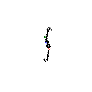 CCCCCCCCCOc1ccc(-c2ccc(CCC(F)CCCCCCC)cn2)cc1